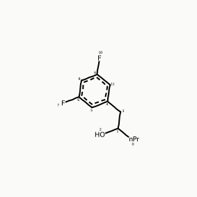 CCCC(O)Cc1cc(F)cc(F)c1